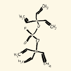 C=C[Si](C=C)(C=C)OP(=O)(F)O[Si](C=C)(C=C)C=C